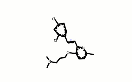 Cc1ccc(OCCCN(C)C)c(/C=C/c2ccc(Cl)cc2Cl)n1